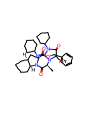 CCCC1C(=O)N(C2CCCCC2)/C(=N\C2CCCCC2)N1[C@@H](C)C(=O)N1[C@H](C(=O)OCc2ccccc2)C[C@@H]2CCCC[C@@H]21